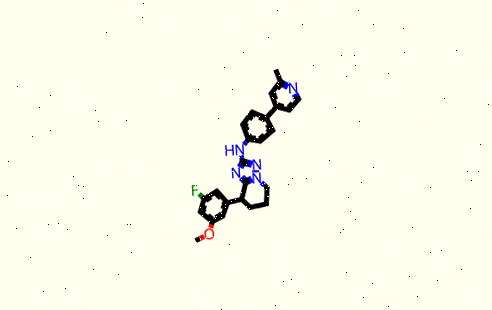 COc1cc(F)cc(C2CCCn3nc(Nc4ccc(-c5ccnc(C)c5)cc4)nc32)c1